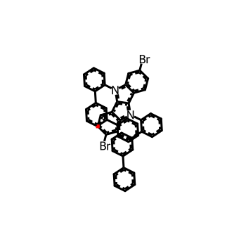 Brc1ccc2c(c1)n(-c1ccccc1-c1cccc(-c3ccccc3)c1)c1c3ccc(Br)cc3n(-c3ccccc3-c3cccc(-c4ccccc4)c3)c21